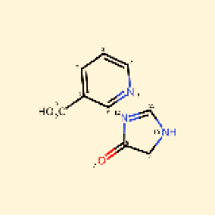 O=C(O)c1cccnc1.O=C1CNC=N1